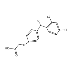 O=C(O)COc1ccc(C(Br)c2ccc(Cl)cc2Cl)cc1